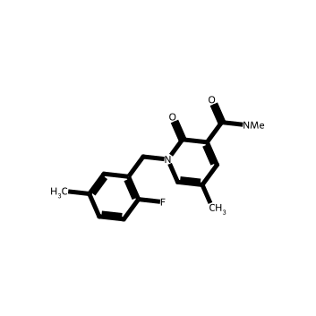 CNC(=O)c1cc(C)cn(Cc2cc(C)ccc2F)c1=O